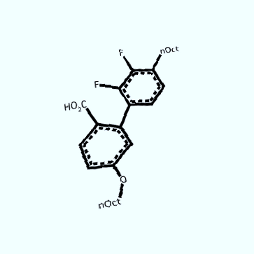 CCCCCCCCOc1ccc(C(=O)O)c(-c2ccc(CCCCCCCC)c(F)c2F)c1